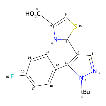 CC(C)(C)n1ncc(-c2nc(C(=O)O)cs2)c1-c1ccc(F)cc1